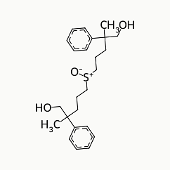 CC(CO)(CCC[S+]([O-])CCCC(C)(CO)c1ccccc1)c1ccccc1